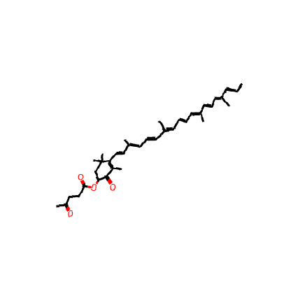 C/C=C/C(C)=C/C=C/C(C)=C/C=C/C=C(C)/C=C/C=C(C)/C=C/C1=C(C)C(=O)C(OC(=O)CCC(C)=O)CC1(C)C